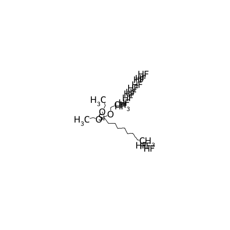 CCCCCCCC[Si](OCC)(OCC)OCC.F.F.F.F.F.F.F.F.F.F.F.F.F